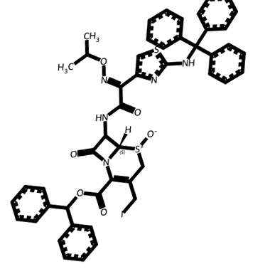 CC(C)ON=C(C(=O)NC1C(=O)N2C(C(=O)OC(c3ccccc3)c3ccccc3)=C(CI)C[S+]([O-])[C@@H]12)c1csc(NC(c2ccccc2)(c2ccccc2)c2ccccc2)n1